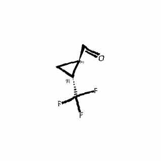 O=C[C@@H]1C[C@H]1C(F)(F)F